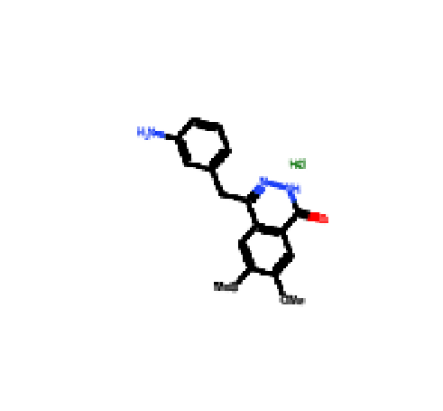 COc1cc2c(Cc3cccc(N)c3)n[nH]c(=O)c2cc1OC.Cl